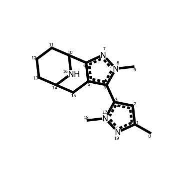 Cc1cc(-c2c3c(nn2C)C2CCCC(C3)N2)n(C)n1